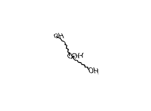 OCCCCCCCCCCOC(O)CCCCCCCCCO